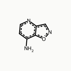 Nc1ccnc2cnoc12